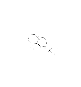 C[C@@H]1CCC[C@]2(C)CC[C@@H](C(C)(C)O)C=C12